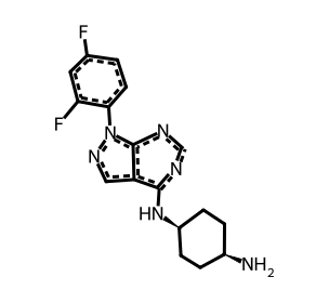 N[C@H]1CC[C@@H](Nc2ncnc3c2cnn3-c2ccc(F)cc2F)CC1